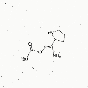 CC(C)(C)C(=O)O/N=C(\N)C1CCCN1